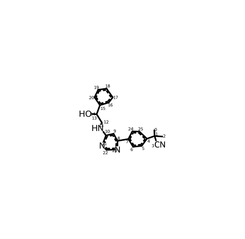 CC(C)(C#N)c1ccc(-c2cc(NCC(O)c3ccccc3)ncn2)cc1